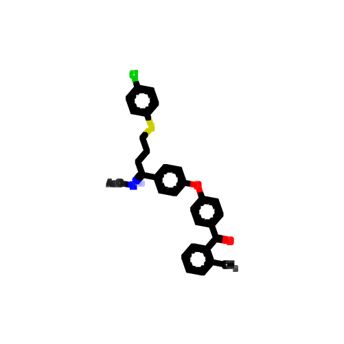 CC(=O)O/N=C(\CCCSc1ccc(Cl)cc1)c1ccc(Oc2ccc(C(=O)c3ccccc3C)cc2)cc1